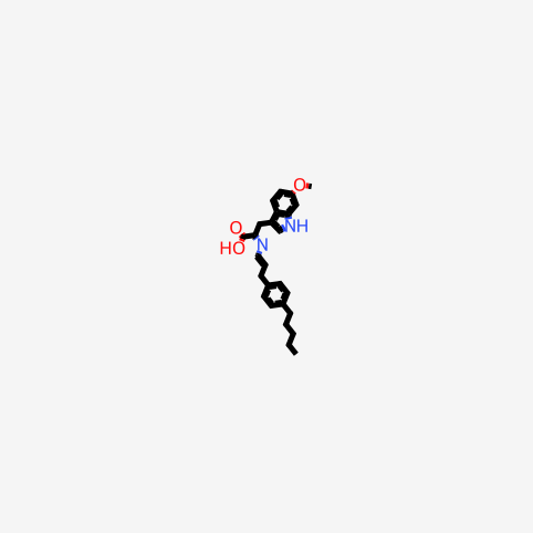 CCCCCc1ccc(CC=CN=C(Cc2c[nH]c3cc(OC)ccc23)C(=O)O)cc1